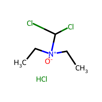 CC[N+]([O-])(CC)C(Cl)Cl.Cl